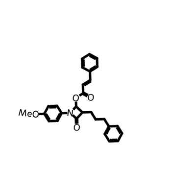 COc1ccc(N2C(=O)C(CCCc3ccccc3)C2OC(=O)C=Cc2ccccc2)cc1